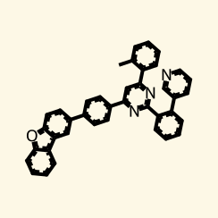 Cc1ccccc1-c1cc(-c2ccc(-c3ccc4oc5ccccc5c4c3)cc2)nc(-c2ccccc2-c2cccnc2)n1